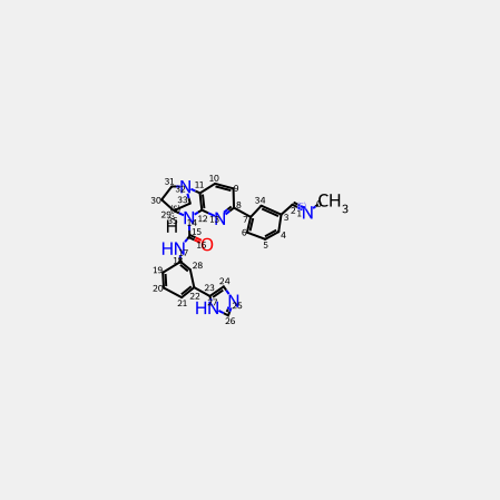 C/N=C/c1cccc(-c2ccc3c(n2)N(C(=O)Nc2cccc(-c4cnc[nH]4)c2)[C@H]2CCN3C2)c1